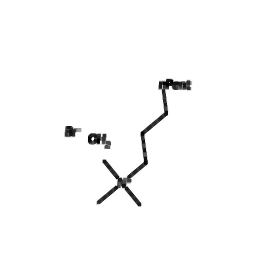 CCCCCCCC[N+](C)(C)C.O.[Br-]